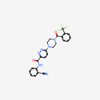 N#Cc1ccccc1NC(=O)c1ccc(N2CCN(C(=O)c3ccccc3C(F)(F)F)CC2)nn1